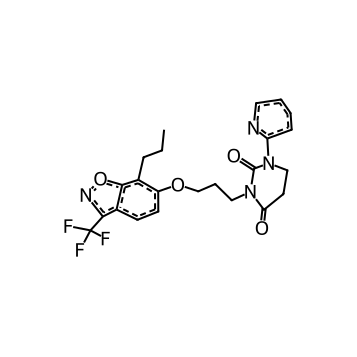 CCCc1c(OCCCN2C(=O)CCN(c3ccccn3)C2=O)ccc2c(C(F)(F)F)noc12